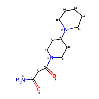 NC(=O)CC(=O)N1CCC(N2CCCCC2)CC1